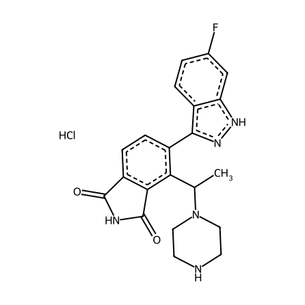 CC(c1c(-c2n[nH]c3cc(F)ccc23)ccc2c1C(=O)NC2=O)N1CCNCC1.Cl